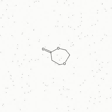 O=C1CCOCCO1